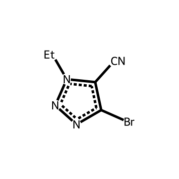 CCn1nnc(Br)c1C#N